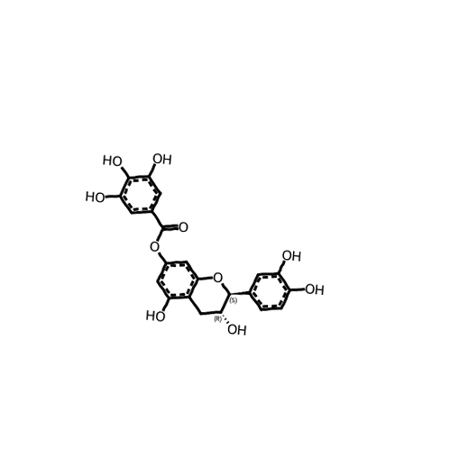 O=C(Oc1cc(O)c2c(c1)O[C@@H](c1ccc(O)c(O)c1)[C@H](O)C2)c1cc(O)c(O)c(O)c1